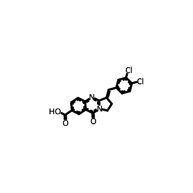 O=C(O)c1ccc2nc3n(c(=O)c2c1)CC/C3=C\c1ccc(Cl)c(Cl)c1